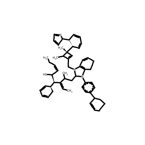 C/C=C(\C(C)CC1N(CC2=C[C@@](C)([C@H]3C=CC=CC3C3C=CC=N3)C2C)C2=C(CCC=C2)N1c1ccc(C2C=CCCC2)cc1)[C@H](C(S)/C=C\CC)[C@@H]1C=CC=CC1